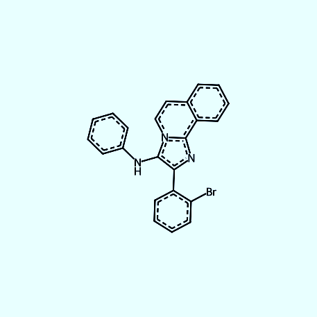 Brc1ccccc1-c1nc2c3ccccc3ccn2c1Nc1ccccc1